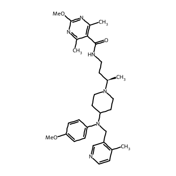 COc1ccc(N(Cc2cnccc2C)C2CCN([C@H](C)CCNC(=O)c3c(C)nc(OC)nc3C)CC2)cc1